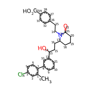 Cc1cc(Cl)ccc1-c1cccc(C(O)CCC2CCCC(=O)N2CCc2ccc(C(=O)O)cc2)c1